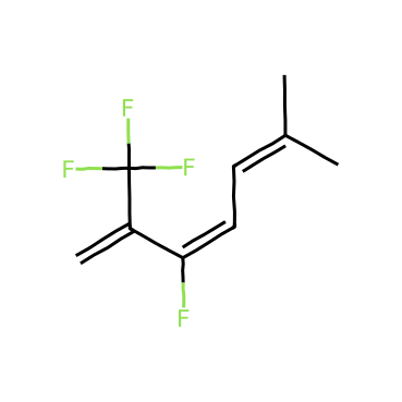 C=C(/C(F)=C\C=C(C)C)C(F)(F)F